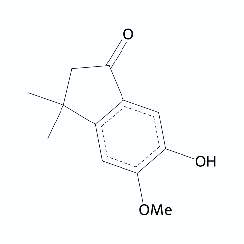 COc1cc2c(cc1O)C(=O)CC2(C)C